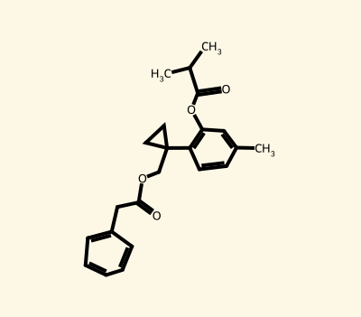 Cc1ccc(C2(COC(=O)Cc3ccccc3)CC2)c(OC(=O)C(C)C)c1